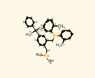 Cc1ccccc1P(Cc1cc(C(C)(C)c2ccccc2)ccc1CP(C(C)(C)C)C(C)(C)C)c1ccccc1C